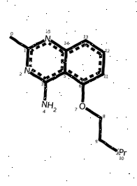 Cc1nc(N)c2c(OCCC(C)C)cccc2n1